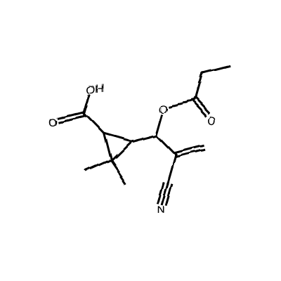 C=C(C#N)C(OC(=O)CC)C1C(C(=O)O)C1(C)C